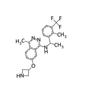 Cc1c(C(C)Nc2nnc(C)c3ccc(OC4CNC4)cc23)cccc1C(F)(F)F